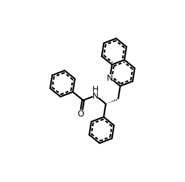 O=C(N[C@H](Cc1ccc2ccccc2n1)c1ccccc1)c1ccccc1